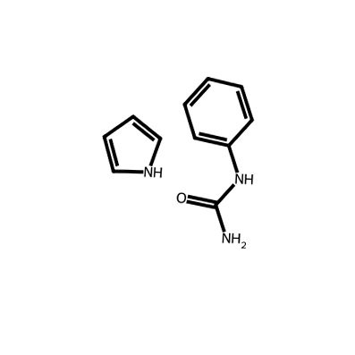 NC(=O)Nc1ccccc1.c1cc[nH]c1